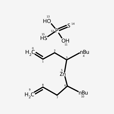 C=CC[CH](CCCC)[Zn][CH](CC=C)CCCC.OP(O)(=S)S